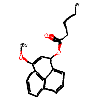 CC(C)CCCC(=O)OC1C=C(OC(C)(C)C)c2cccc3cccc1c23